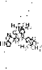 CC1(C)[C@@H]2[C@@H](C(=O)N[C@H](C#N)C[C@@H]3CCNC3=O)N(C(=O)[C@@H]3CC(=O)N(C(C)(C)C)C3)C[C@@H]21